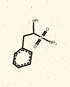 CCCC(Cc1ccccc1)S(N)(=O)=O